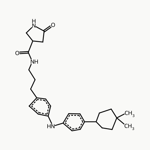 CC1(C)CCC(c2ccc(Nc3ccc(CCCNC(=O)C4CNC(=O)C4)cc3)cc2)CC1